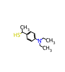 CCN(CC)c1ccc(C(C)S)cc1